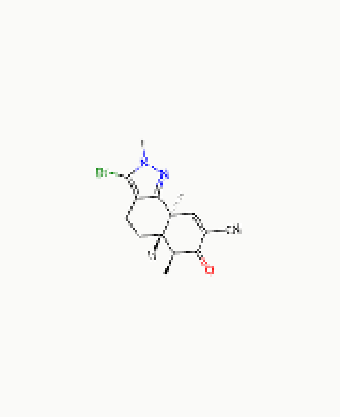 C[C@@H]1C(=O)C(C#N)=C[C@]2(C)c3nn(C)c(Br)c3CC[C@@H]12